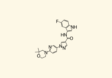 CC1(C)CN(c2ccc(-n3cc(C(=O)Nc4c[nH]c5ccc(F)cc45)cn3)cn2)CCO1